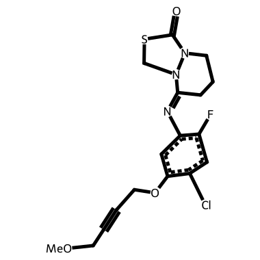 COCC#CCOc1cc(N=C2CCCN3C(=O)SCN23)c(F)cc1Cl